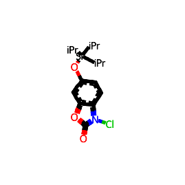 CC(C)[Si](Oc1ccc2c(c1)oc(=O)n2Cl)(C(C)C)C(C)C